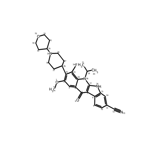 COc1cc2c(=O)c3c4ccc(C#N)cc4[nH]c3n(C(C)C)c2c(F)c1C1CCN(C2CCOCC2)CC1